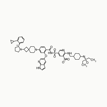 CCS(=O)(CC)=NC1CCC(CNc2ncc(S(=O)(=O)NC(=O)c3ccc(N4CCC5(CC4)CC(N4CCC[C@H]4c4ccccc4C4CC4)C5)cc3Oc3cnc4[nH]ccc4c3)cc2[N+](=O)[O-])CC1